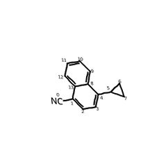 N#Cc1ccc(C2CC2)c2ccccc12